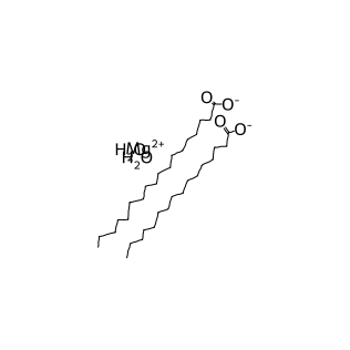 CCCCCCCCCCCCCCCC(=O)[O-].CCCCCCCCCCCCCCCCCC(=O)[O-].O.O.[Mg+2]